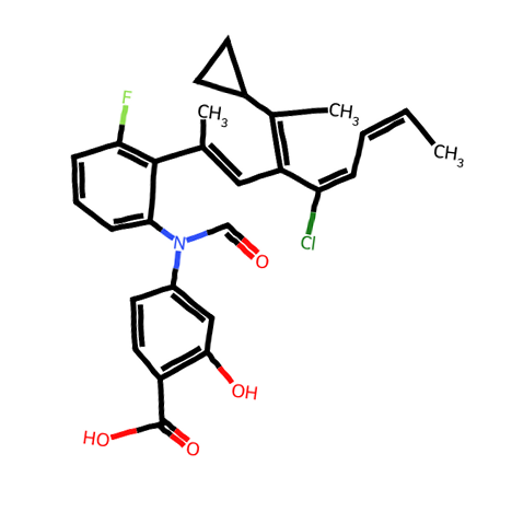 C\C=C/C=C(Cl)\C(\C=C(/C)c1c(F)cccc1N(C=O)c1ccc(C(=O)O)c(O)c1)=C(/C)C1CC1